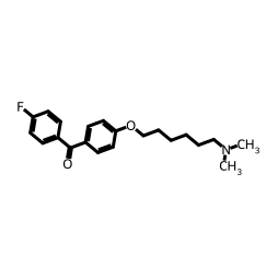 CN(C)CCCCCCOc1ccc(C(=O)c2ccc(F)cc2)cc1